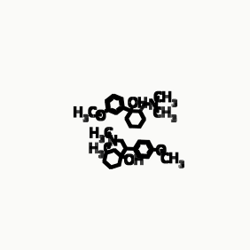 COc1ccc(C(CN(C)C)C2(O)CCCCC2)cc1.COc1cccc([C@@]2(O)CCCC[C@@H]2CN(C)C)c1